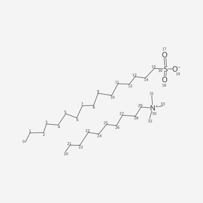 CCCCCCCCCCCCCCCCS(=O)(=O)[O-].CCCCCCCCCC[N+](C)(C)C